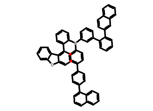 c1cc(-c2ccccc2-c2ccc3ccccc3c2)cc(N(c2ccc(-c3ccc(-c4cccc5ccccc45)cc3)cc2)c2ccccc2-c2cccc3oc4ccccc4c23)c1